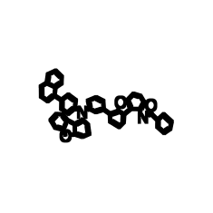 c1ccc(-c2nc3c(ccc4oc5c(-c6cccc(N(c7ccc(-c8cccc9ccccc89)cc7)c7cccc8oc9ccccc9c78)c6)cccc5c43)o2)cc1